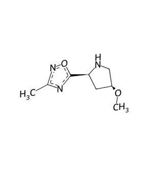 CO[C@@H]1CN[C@H](c2nc(C)no2)C1